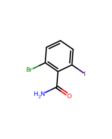 NC(=O)c1c(Br)cccc1I